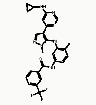 Cc1ccc(NC(=O)c2cccc(C(F)(F)F)c2)cc1Nc1c(-c2cc(NC3CC3)ncn2)cnn1C